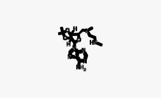 CNCCN(C)C[C@H]1OC(n2cnc3c(N)ncnc32)[C@@H]2OC(C)(C)O[C@H]12